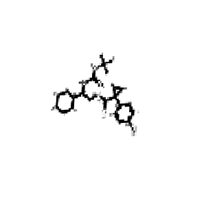 CC(C)(C)OC(=O)NC(CNC(=O)C1(c2ccc(Cl)cc2)CC1)C1CCCCC1